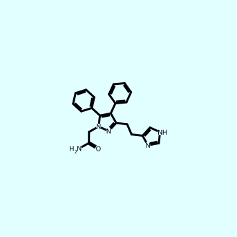 NC(=O)Cn1nc(CCc2c[nH]cn2)c(-c2ccccc2)c1-c1ccccc1